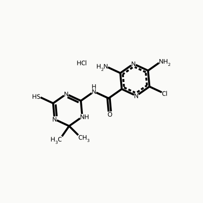 CC1(C)N=C(S)N=C(NC(=O)c2nc(Cl)c(N)nc2N)N1.Cl